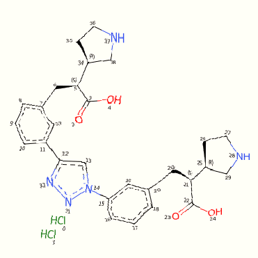 Cl.Cl.O=C(O)[C@@H](Cc1cccc(-c2cn(-c3cccc(C[C@H](C(=O)O)[C@H]4CCNC4)c3)nn2)c1)[C@H]1CCNC1